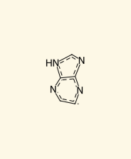 [c]1cnc2[nH]cnc2n1